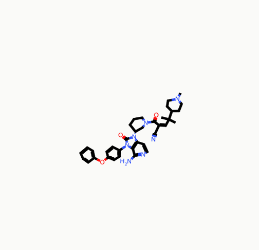 CN1CCC(C(C)(C)/C=C(/C#N)C(=O)N2CCC[C@@H](n3c(=O)n(-c4ccc(Oc5ccccc5)cc4)c4c(N)nccc43)C2)CC1